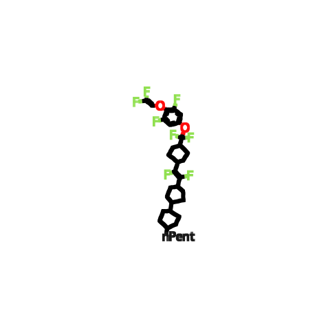 CCCCCC1CCC(C2CCC(/C(F)=C(\F)C3CCC(C(F)(F)Oc4cc(F)c(OC=C(F)F)c(F)c4)CC3)CC2)CC1